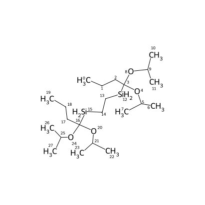 CCCC(OC(C)C)(OC(C)C)[SiH2]CC[SiH2]C(CCC)(OC(C)C)OC(C)C